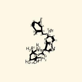 BC1(B)CC(O)C(B)(O)N1C(=O)Nc1cnn2ccc(N(CCC)Cc3cc(F)ccc3F)nc12